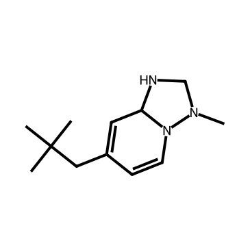 CN1CNC2C=C(CC(C)(C)C)C=CN21